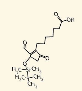 CC(C)(C)[Si](C)(C)OC1CC(=O)C(CCCCCCC(=O)O)=C1C=O